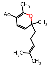 CC(=O)C1=C(C)OC(C)(CCC=C(C)C)C=C1